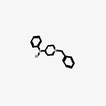 CC(C)N(c1ccccc1)C1CCN(Cc2ccccc2)CC1